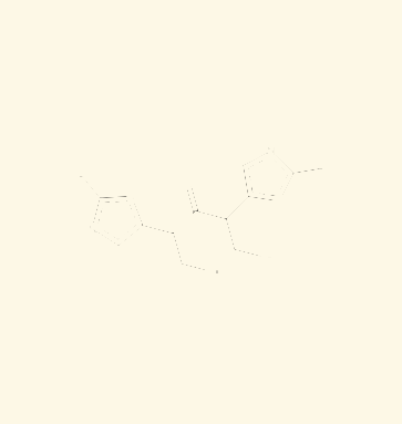 O=C(C(CO)c1cnc(Cl)s1)C(CO)c1cnc(Cl)s1